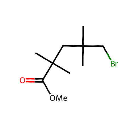 COC(=O)C(C)(C)CC(C)(C)CBr